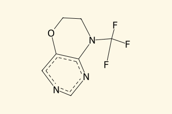 FC(F)(F)N1CCOc2cncnc21